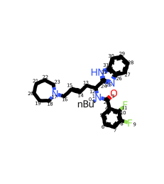 CCCCN(C(=O)c1cccc(F)c1F)C(CC=CCN1CCCCCC1)c1nc2ccccc2[nH]1